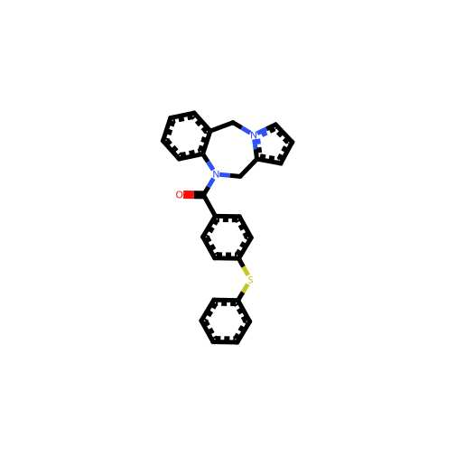 O=C(c1ccc(Sc2ccccc2)cc1)N1Cc2cccn2Cc2ccccc21